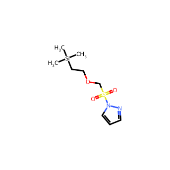 C[Si](C)(C)CCOCS(=O)(=O)n1cccn1